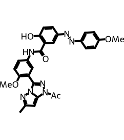 COc1ccc(N=Nc2ccc(O)c(C(=O)Nc3ccc(OC)c(-c4nn(C(C)=O)c5cc(C)nn45)c3)c2)cc1